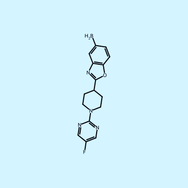 Bc1ccc2oc(C3CCN(c4ncc(F)cn4)CC3)nc2c1